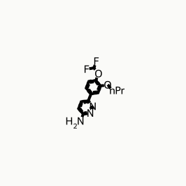 CCCOc1cc(-c2ccc(N)nn2)ccc1OC(F)F